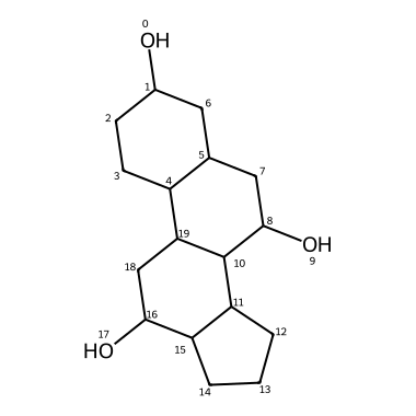 OC1CCC2C(C1)CC(O)C1C3CCCC3C(O)CC21